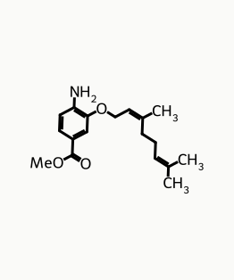 COC(=O)c1ccc(N)c(OCC=C(C)CCC=C(C)C)c1